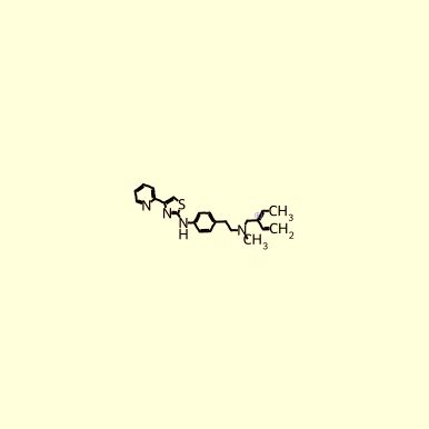 C=C/C(=C\C)CN(C)CCc1ccc(Nc2nc(-c3ccccn3)cs2)cc1